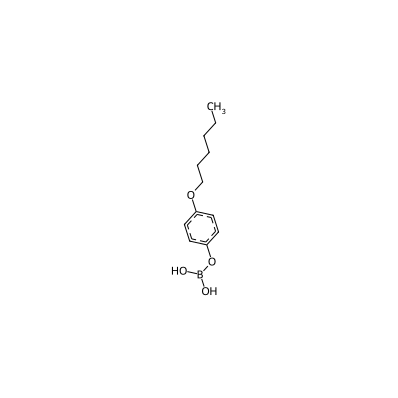 CCCCCCOc1ccc(OB(O)O)cc1